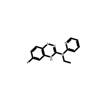 CCN(C1=NSc2ccc(F)cc2N1)c1ccccn1